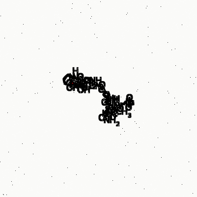 CC(C)[C@H](NC(=O)CCCN1C(=O)C=CC1=O)C(=O)N[C@@H](CCCNC(N)=O)C(=O)Nc1ccc(COC(=O)NCC(=O)Nc2ccc3c(c2)C(=O)c2c(O)cc4c(c2C3=O)N[C@H]2C#C/C=C\C#C[C@@H](O)[C@@]43O[C@@]23[C@@H](C)O)cc1